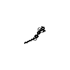 CCCCCCCCCCOc1ccc(-c2ccc(C(=O)OC3CC(C)CCC3C(C)C)cc2)cc1